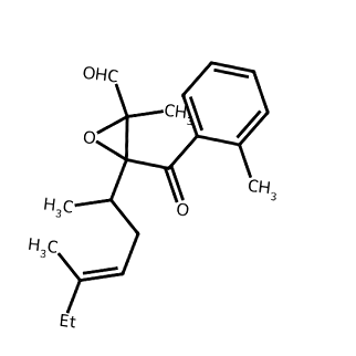 CC/C(C)=C/CC(C)C1(C(=O)c2ccccc2C)OC1(C)C=O